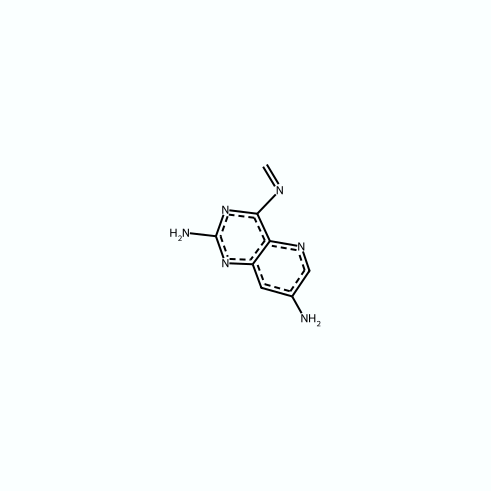 C=Nc1nc(N)nc2cc(N)cnc12